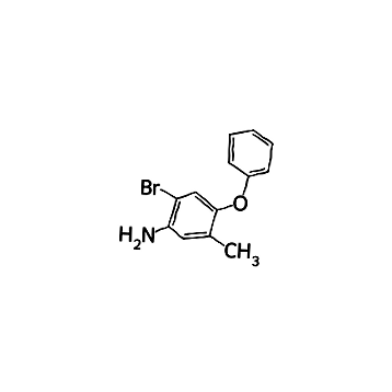 Cc1cc(N)c(Br)cc1Oc1ccccc1